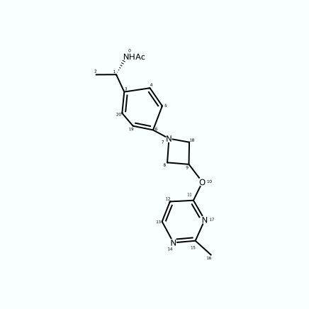 CC(=O)N[C@@H](C)c1ccc(N2CC(Oc3ccnc(C)n3)C2)cc1